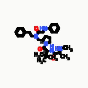 CN[C@@H](C)C(=O)N[C@H](C(=O)N1CCC[C@H]1CN(CCc1ccccc1)C(=O)CNc1ccccc1)C(C)(C)C